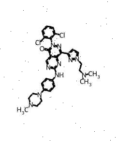 CN(C)CCn1ccc(-c2nn(-c3c(Cl)cccc3Cl)c(=O)c3cnc(Nc4ccc(N5CCN(C)CC5)cc4)nc23)n1